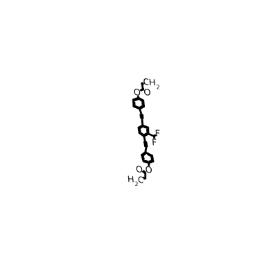 C=CC(=O)Oc1ccc(C#Cc2ccc(C#Cc3ccc(OC(=O)C=C)cc3)c(C(F)F)c2)cc1